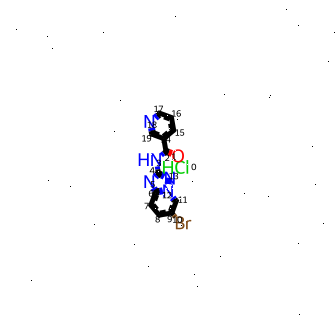 Cl.O=C(Nc1nc2ccc(Br)cn2n1)c1cccnc1